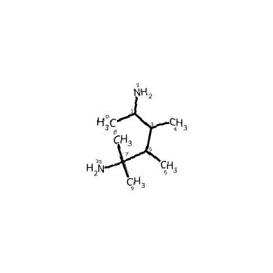 CC(N)C(C)C(C)C(C)(C)N